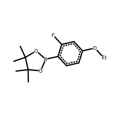 CCOc1ccc(B2OC(C)(C)C(C)(C)O2)c(F)c1